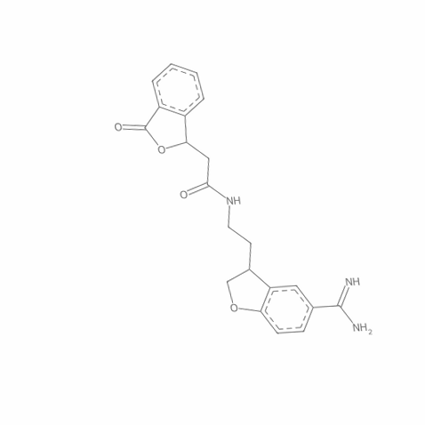 N=C(N)c1ccc2c(c1)C(CCNC(=O)CC1OC(=O)c3ccccc31)CO2